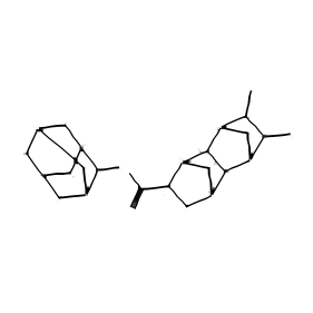 CC1C(C)C2CC1C1C3CC(C(=O)OC4C5CC6CC(C5)CC4C6)C(C3)C21